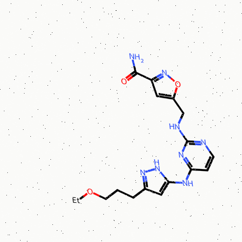 CCOCCCc1cc(Nc2ccnc(NCc3cc(C(N)=O)no3)n2)[nH]n1